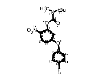 CN(C(=O)Oc1cc(Oc2ccc(F)cc2)ccc1[N+](=O)[O-])C(C)(C)C